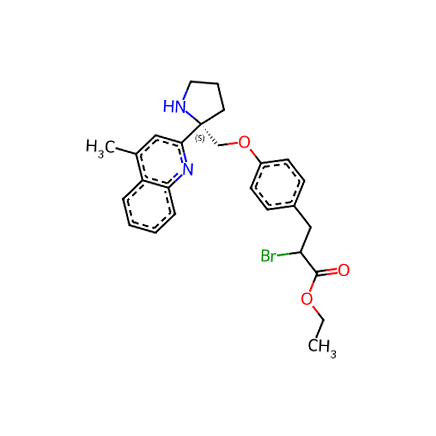 CCOC(=O)C(Br)Cc1ccc(OC[C@@]2(c3cc(C)c4ccccc4n3)CCCN2)cc1